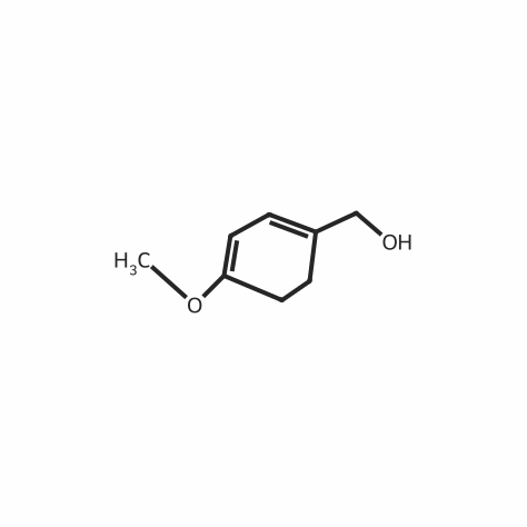 COC1=CC=C(CO)CC1